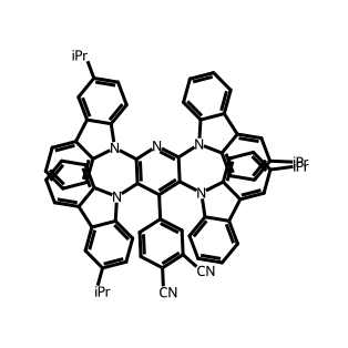 CC(C)c1ccc2c(c1)c1ccccc1n2-c1nc(-n2c3ccccc3c3cc(C(C)C)ccc32)c(-n2c3ccccc3c3cc(C(C)C)ccc32)c(-c2ccc(C#N)c(C#N)c2)c1-n1c2ccccc2c2cc(C(C)C)ccc21